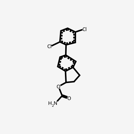 NC(=O)OC1CCc2cc(-c3cc(Cl)ccc3Cl)ccc21